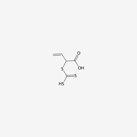 C=CC(SC(=S)S)C(=O)O